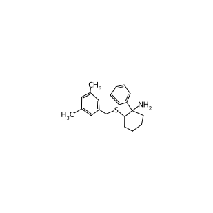 Cc1cc(C)cc(CSC2CCCCC2(N)c2ccccc2)c1